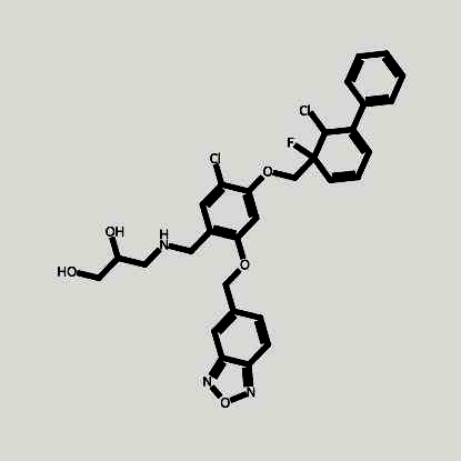 OCC(O)CNCc1cc(Cl)c(OCC2(F)C=CC=C(c3ccccc3)C2Cl)cc1OCc1ccc2nonc2c1